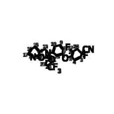 N#CC1(F)C=CC(Oc2cccc(N(Cc3cccnc3)S(=O)(=O)CC(F)(F)F)c2)=C(F)C1